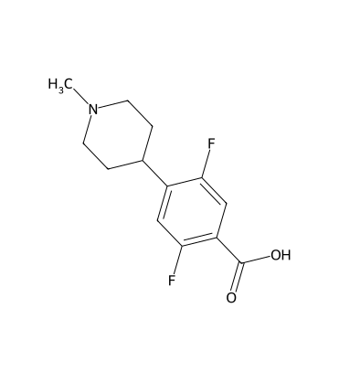 CN1CCC(c2cc(F)c(C(=O)O)cc2F)CC1